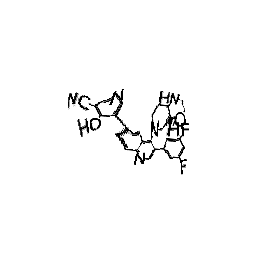 N#Cc1cncc(-c2ccc3ncc(-c4cc(F)cc(F)c4)c(N4CCC5NCCO[C@@H]5C4)c3c2)c1O